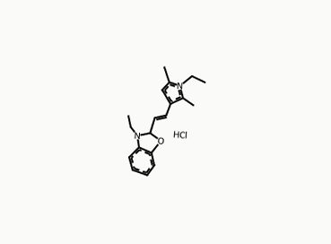 CCN1c2ccccc2OC1C=Cc1cc(C)n(CC)c1C.Cl